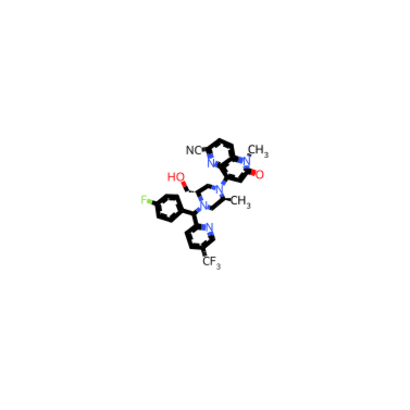 C[C@H]1CN(C(c2ccc(F)cc2)c2ccc(C(F)(F)F)cn2)[C@H](CO)CN1c1cc(=O)n(C)c2ccc(C#N)nc12